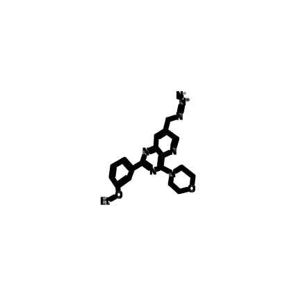 CCOc1cccc(-c2nc(N3CCOCC3)c3ncc(CN=[N+]=[N-])cc3n2)c1